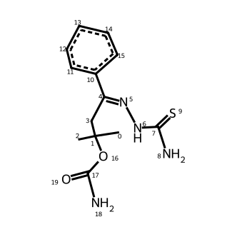 CC(C)(CC(=NNC(N)=S)c1ccccc1)OC(N)=O